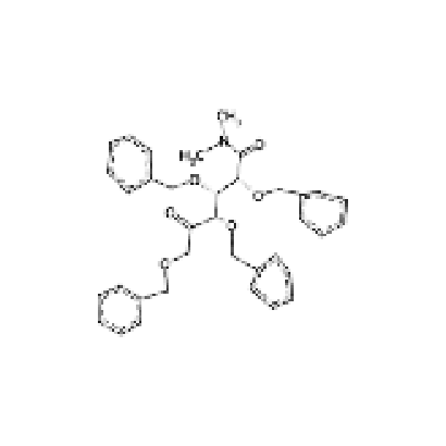 CN(C)C(=O)[C@H](OCc1ccccc1)[C@@H](OCc1ccccc1)[C@H](OCc1ccccc1)C(=O)COCc1ccccc1